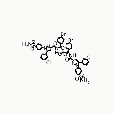 NS(=O)(=O)c1ccc(-n2nc(C(=O)NC(O[PH](=O)OC(NC(=O)c3cc(-c4cccc(Cl)c4)n(-c4ccc(S(N)(=O)=O)cc4)n3)c3ccc(Br)cc3)c3ccc(Br)cc3)cc2-c2cccc(Cl)c2)cc1